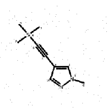 Cn1cc(C#C[Si](C)(C)C)cn1